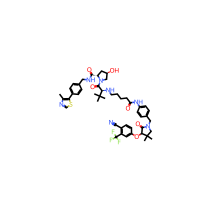 Cc1ncsc1-c1ccc(CNC(=O)[C@@H]2C[C@@H](O)CN2C(=O)[C@@H](NCCCCC(=O)Nc2ccc(CN3CC(C)(C)C(Oc4ccc(C#N)c(C(F)(F)F)c4)C3=O)cc2)C(C)(C)C)cc1